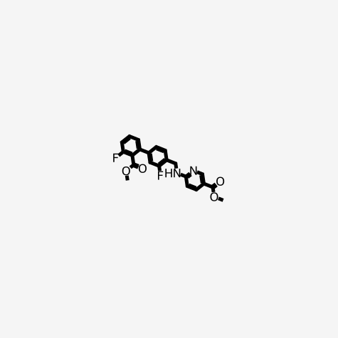 COC(=O)c1ccc(NCc2ccc(-c3cccc(F)c3C(=O)OC)cc2F)nc1